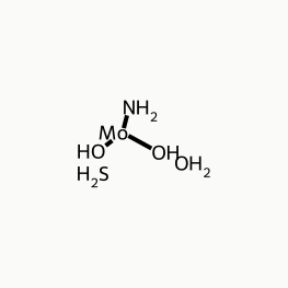 O.S.[NH2][Mo]([OH])[OH]